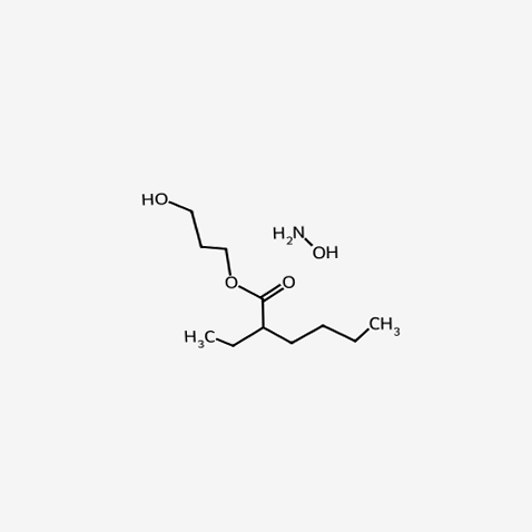 CCCCC(CC)C(=O)OCCCO.NO